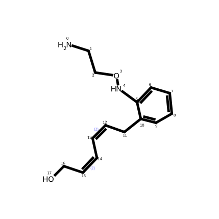 NCCONc1ccccc1C/C=C\C=C/CO